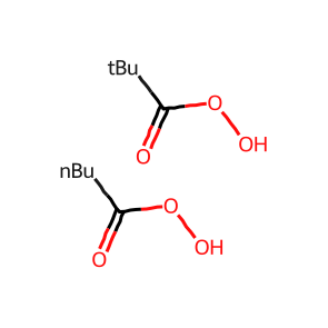 CC(C)(C)C(=O)OO.CCCCC(=O)OO